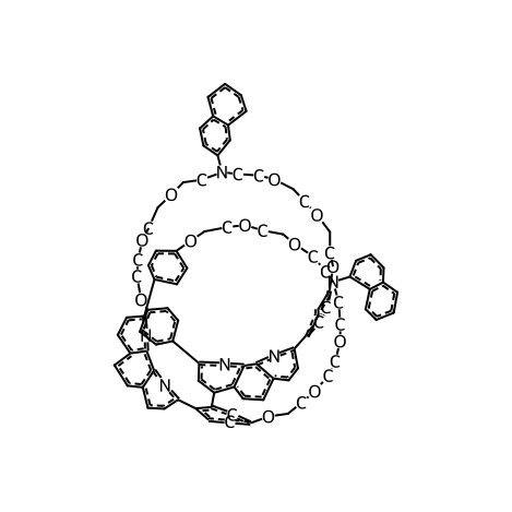 c1ccc2cc(N3CCOCCOCCOc4ccc(cc4)-c4ccc5ccc6c(-c7cc8ccc7-c7ccc9ccc%10ccc(nc%10c9n7)-c7ccc(cc7)OCCOCCOCCN(c7cccc9ccccc79)CCOCCOCCO8)cc(nc6c5n4)-c4ccc(cc4)OCCOCCOCC3)ccc2c1